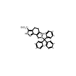 CCOC(=O)c1[nH]nc2c1CCC1=C2CN(C(c2ccccc2)(c2ccccc2)c2ccccc2)N1